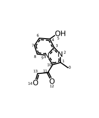 Cc1nc2c(O)cccn2c1C(=O)C=O